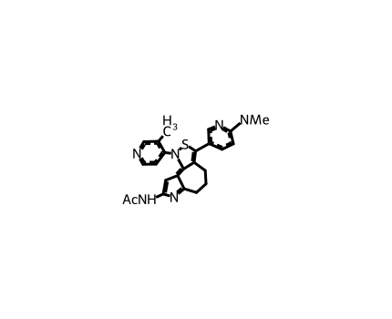 CNc1ccc(C2=C3CCCC4=NC(NC(C)=O)=CC4=C3N(c3ccncc3C)S2)cn1